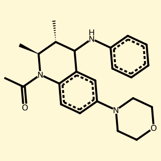 CC(=O)N1c2ccc(N3CCOCC3)cc2C(Nc2ccccc2)[C@@H](C)[C@@H]1C